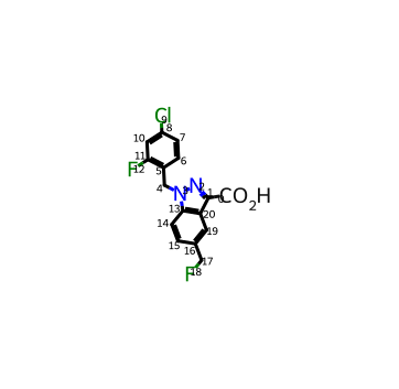 O=C(O)c1nn(Cc2ccc(Cl)cc2F)c2ccc(CF)cc12